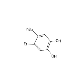 CCCCc1cc(O)c(O)cc1CC